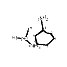 NC1CCCCC1.[NH2][Pt]([I])[I]